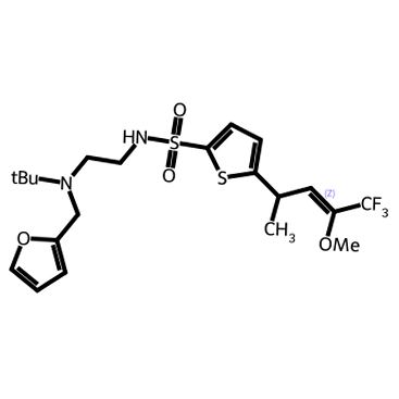 CO/C(=C\C(C)c1ccc(S(=O)(=O)NCCN(Cc2ccco2)C(C)(C)C)s1)C(F)(F)F